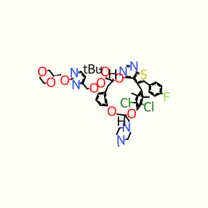 Cc1c(Cl)c2c(Cl)c(C)c1-c1c(-c3ccc(F)cc3)sc3ncnc(c13)O[C@@H](C(=O)OC(C)(C)C)Cc1cc(ccc1OCc1ccnc(OC[C@@H]3COCCO3)n1)OC[C@@H](CN1CCN(C)CC1)O2